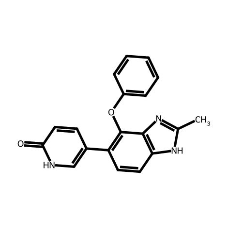 Cc1nc2c(Oc3ccccc3)c(-c3ccc(=O)[nH]c3)ccc2[nH]1